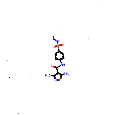 Cc1nsc(N)c1C(=O)Nc1ccc(S(=O)(=O)NCI)cc1